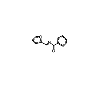 O=C(N=Cc1ccco1)c1ccccc1